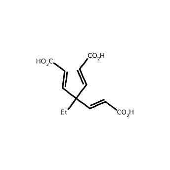 CCC(C=CC(=O)O)(C=CC(=O)O)C=CC(=O)O